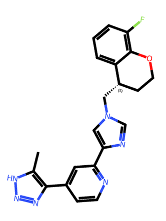 Cc1[nH]nnc1-c1ccnc(-c2cn(C[C@H]3CCOc4c(F)cccc43)cn2)c1